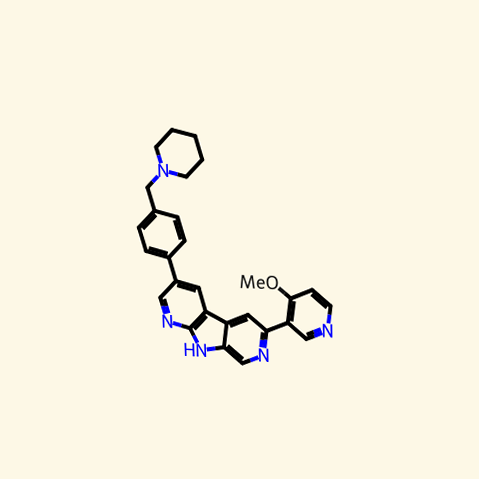 COc1ccncc1-c1cc2c(cn1)[nH]c1ncc(-c3ccc(CN4CCCCC4)cc3)cc12